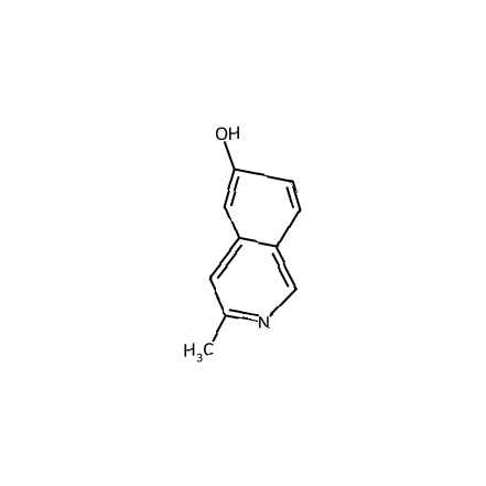 Cc1cc2cc(O)ccc2cn1